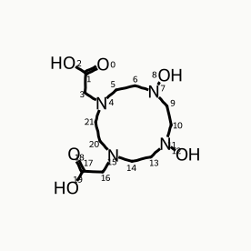 O=C(O)CN1CCN(O)CCN(O)CCN(CC(=O)O)CC1